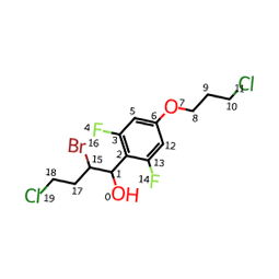 OC(c1c(F)cc(OCCCCl)cc1F)C(Br)CCCl